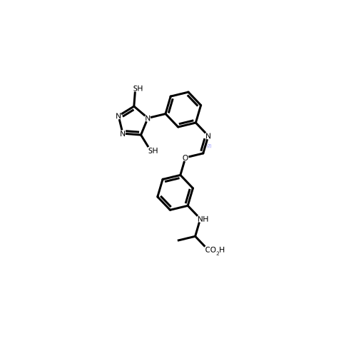 CC(Nc1cccc(O/C=N\c2cccc(-n3c(S)nnc3S)c2)c1)C(=O)O